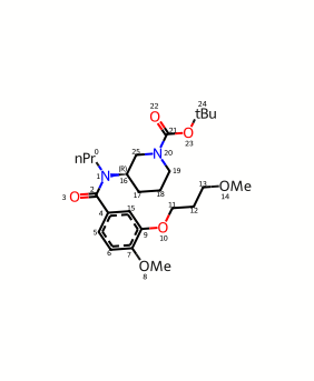 CCCN(C(=O)c1ccc(OC)c(OCCCOC)c1)[C@@H]1CCCN(C(=O)OC(C)(C)C)C1